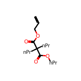 C=CCOC(=O)C(CCC)(CCC)C(=O)OCCC